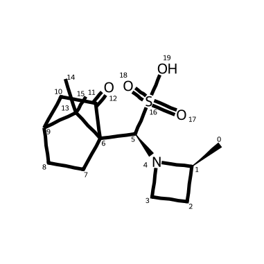 C[C@H]1CCN1[C@@H](C12CCC(CC1=O)C2(C)C)S(=O)(=O)O